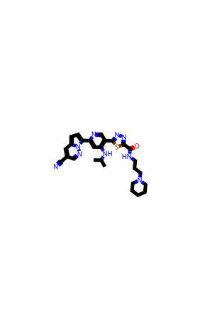 CC(C)Nc1cc(-c2ccc3cc(C#N)cnn23)ncc1-c1nnc(C(=O)NCCCN2CCCCC2)s1